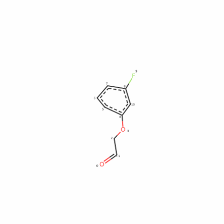 O=[C]COc1cccc(F)c1